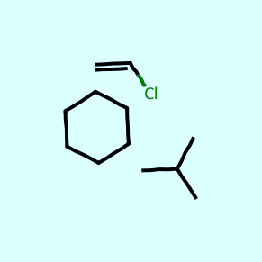 C1CCCCC1.C=CCl.CC(C)C